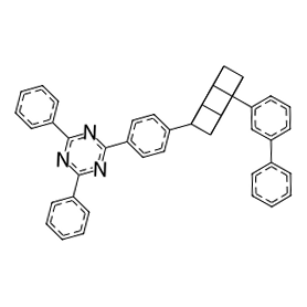 c1ccc(-c2cccc(C34C5C6C3C3C4C5C63c3ccc(-c4nc(-c5ccccc5)nc(-c5ccccc5)n4)cc3)c2)cc1